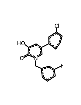 O=c1c(O)cc(-c2cccc(Cl)c2)cn1Cc1cccc(F)c1